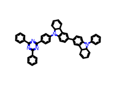 C1=CC2c3cc(-c4ccc5c(c4)C4C=CC=CC4N5c4ccc(-c5nc(-c6ccccc6)nc(-c6ccccc6)n5)cc4)ccc3N(c3ccccc3)C2C=C1